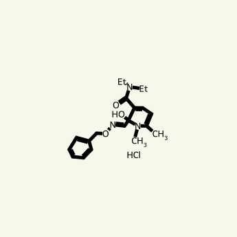 CCN(CC)C(=O)C1=CC=C(C)N(C)C1(O)C=NOCc1ccccc1.Cl